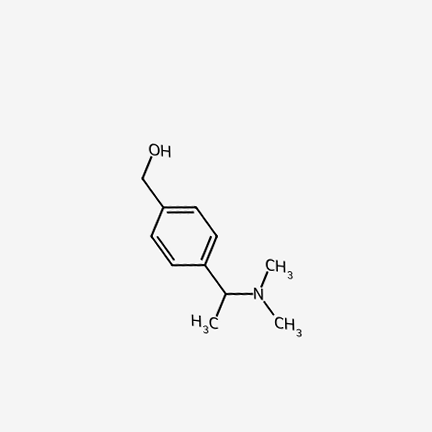 CC(c1ccc(CO)cc1)N(C)C